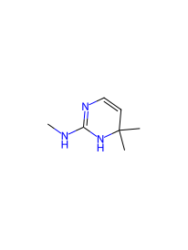 CNC1=NC=CC(C)(C)N1